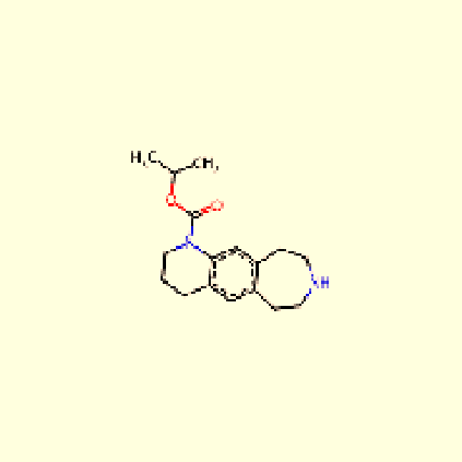 CC(C)OC(=O)N1CCCc2cc3c(cc21)CCNCC3